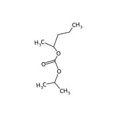 CCCC(C)OC(=O)OC(C)C